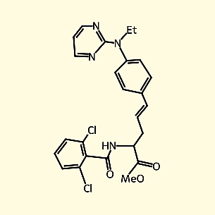 CCN(c1ccc(C=CCC(NC(=O)c2c(Cl)cccc2Cl)C(=O)OC)cc1)c1ncccn1